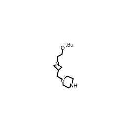 CC(C)(C)OCCN1CC(CN2CCNCC2)C1